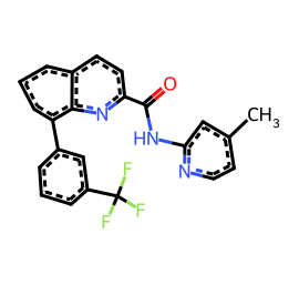 Cc1ccnc(NC(=O)c2ccc3cccc(-c4cccc(C(F)(F)F)c4)c3n2)c1